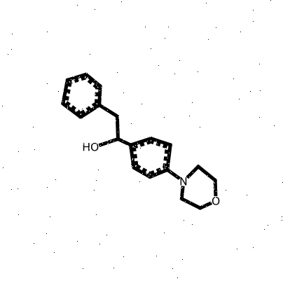 OC(Cc1ccccc1)c1ccc(N2CCOCC2)cc1